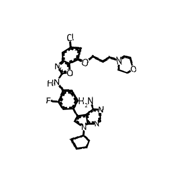 Nc1ncnc2c1c(-c1ccc(Nc3nc4cc(Cl)cc(OCCCN5CCOCC5)c4o3)c(F)c1)cn2C1CCCC1